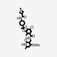 CSc1cc(C)[nH]c(=O)c1CNC(=O)c1cc(Cl)c2c(c1C)OC(C)(C1CCC(NC(=O)C3CN(C)C3)CC1)O2